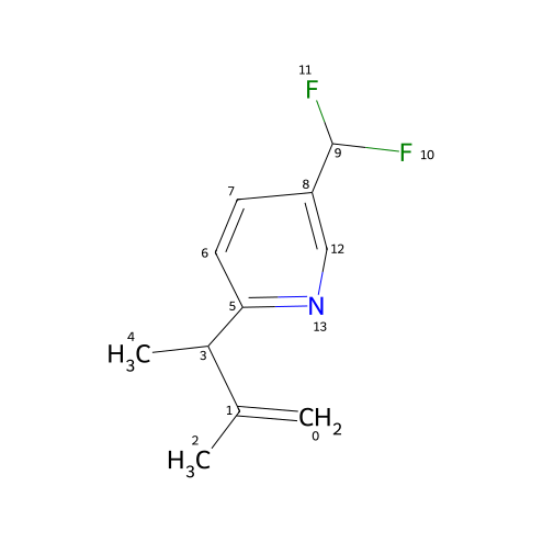 C=C(C)C(C)c1ccc(C(F)F)cn1